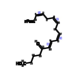 CCCCC/C=C\C/C=C\C/C=C\C=C\C(=O)CCCC(=O)O